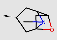 C[C@@H]1CC2C3CC(C1)(O3)N2C